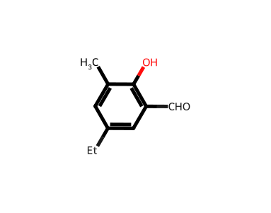 CCc1cc(C)c(O)c(C=O)c1